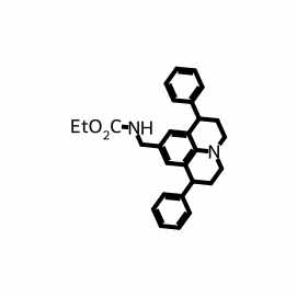 CCOC(=O)NCc1cc2c3c(c1)C(c1ccccc1)CCN3CCC2c1ccccc1